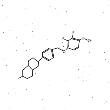 CCOc1ccc(OCc2ccc(C3CCC4CC(C)CCC4C3)cc2)c(F)c1F